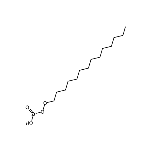 CCCCCCCCCCCCCCO[O][Zr](=[O])[OH]